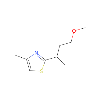 COCCC(C)c1nc(C)cs1